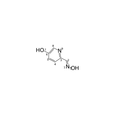 ON=Cc1ccc(O)cn1